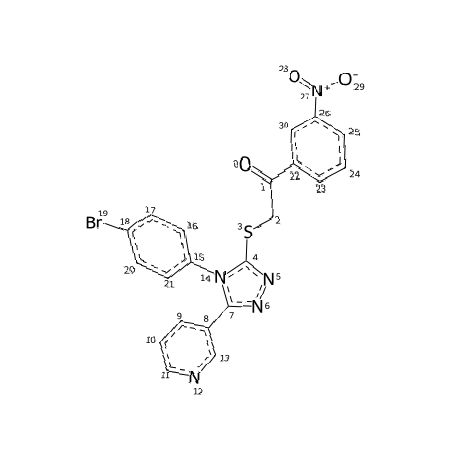 O=C(CSc1nnc(-c2cccnc2)n1-c1ccc(Br)cc1)c1cccc([N+](=O)[O-])c1